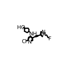 OC1CCC(Nc2cc(Cl)ncc2C#Cc2cnn(CCF)c2)CC1